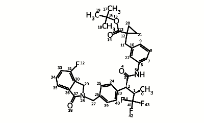 C[C@H]([C@H](C(=O)Nc1cccc(CC2(C(=O)OC(C)(C)C)CC2)c1)c1ccc(CN2Cc3c(F)cccc3C2=O)cc1)C(F)(F)F